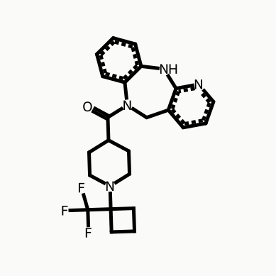 O=C(C1CCN(C2(C(F)(F)F)CCC2)CC1)N1Cc2cccnc2Nc2ccccc21